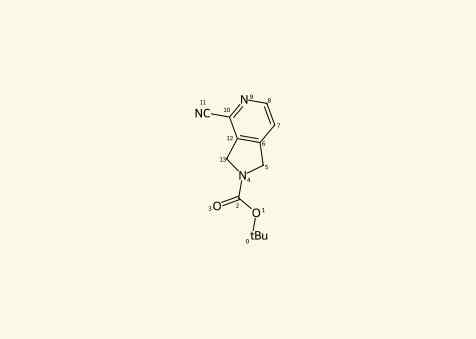 CC(C)(C)OC(=O)N1Cc2ccnc(C#N)c2C1